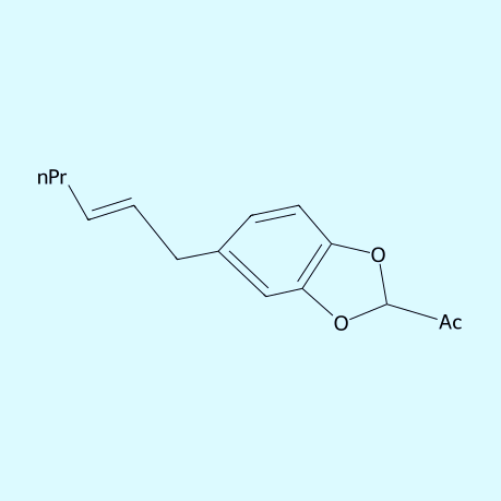 CCCC=CCc1ccc2c(c1)OC(C(C)=O)O2